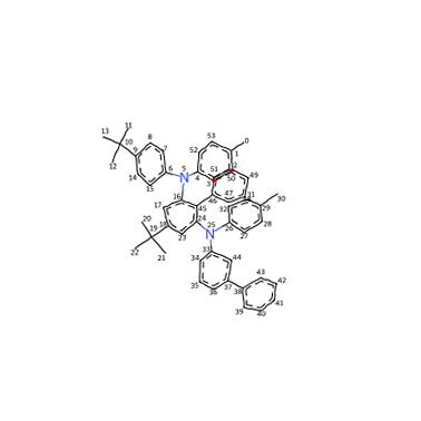 Cc1ccc(N(c2ccc(C(C)(C)C)cc2)c2cc(C(C)(C)C)cc(N(c3ccc(C)cc3)c3cccc(-c4ccccc4)c3)c2-c2ccccc2)cc1